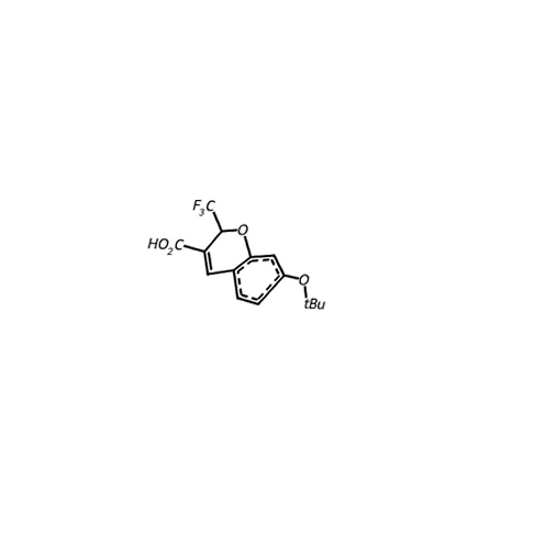 CC(C)(C)Oc1ccc2c(c1)OC(C(F)(F)F)C(C(=O)O)=C2